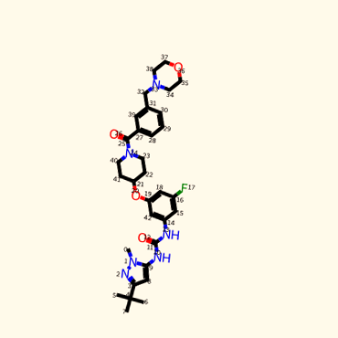 Cn1nc(C(C)(C)C)cc1NC(=O)Nc1cc(F)cc(OC2CCN(C(=O)c3cccc(CN4CCOCC4)c3)CC2)c1